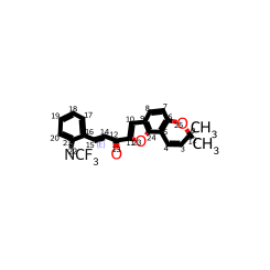 CC1(C)C=Cc2c(ccc3cc(C(=O)/C=C/c4ccccc4NC(F)(F)F)oc23)O1